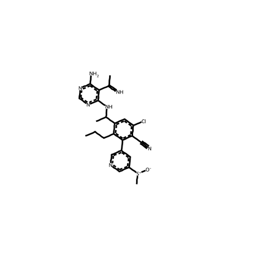 CCCc1c(C(C)Nc2ncnc(N)c2C(C)=N)cc(Cl)c(C#N)c1-c1cncc([S+](C)[O-])c1